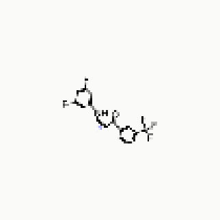 O=C(/C=C\Nc1cc(F)cc(F)c1)c1cccc(C(F)(F)F)c1